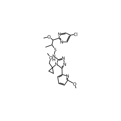 COCC1(n2c(NSC(C)C(OC)c3ncc(Cl)cn3)nnc2-c2cccc(OC)n2)CC1